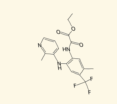 CCOC(=O)C(=O)Nc1cc(C)c(C(F)(F)F)cc1Nc1cccnc1C